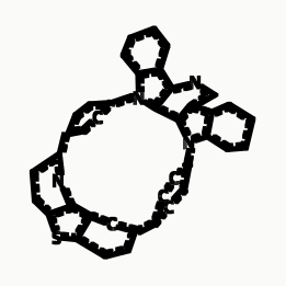 c1ccc2c(c1)c1cnc3c4ccccc4n4c5ccc(cc5)c5ccc6sc7ccc(cc7c6n5)c5ccc(cc5)n2c1c34